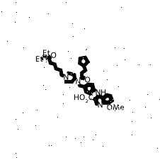 CCN(CC)C(=O)CCCCCN1CCC(N(Cc2ccc(Nc3c(C(=O)O)cnc4c(OC)cccc34)cc2)C(=O)CCC2CCCC2)CC1